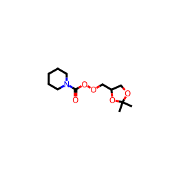 CC1(C)OCC(COOC(=O)N2CCCCC2)O1